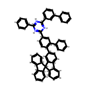 c1ccc(-c2cccc(-c3nc(-c4ccccc4)nc(-c4ccc(-c5ccc6c(c5)C5(c7ccccc7-c7ccccc75)c5ccccc5-6)c(-c5ccccc5)c4)n3)c2)cc1